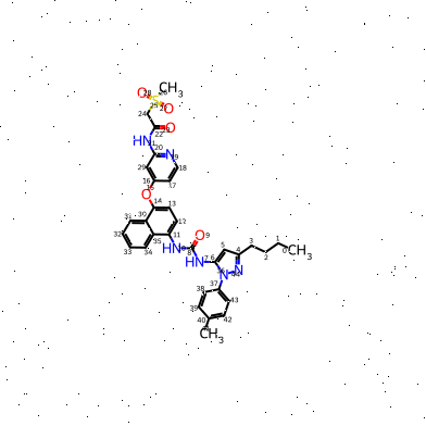 CCCCc1cc(NC(=O)Nc2ccc(Oc3ccnc(NC(=O)CS(C)(=O)=O)c3)c3ccccc23)n(-c2ccc(C)cc2)n1